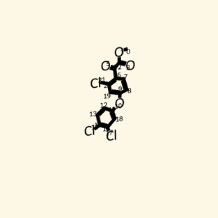 COC(=O)C(=O)c1ccc(Oc2ccc(Cl)c(Cl)c2)cc1Cl